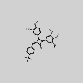 COc1ccc(C2/C(=C/c3ccc(C(C)(C)C)cc3)C(=O)N2c2cc(OC)c(OC)c(OC)c2)cc1O